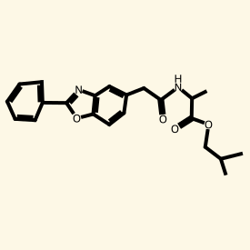 CC(C)COC(=O)C(C)NC(=O)Cc1ccc2oc(-c3ccccc3)nc2c1